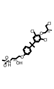 C[C@H](CCl)COc1c(Cl)cc(C(C)(C)c2ccc(OC[C@H](O)CNS(C)(=O)=O)cc2)cc1Cl